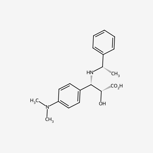 C[C@H](N[C@@H](c1ccc(N(C)C)cc1)[C@@H](O)C(=O)O)c1ccccc1